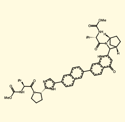 COC(=O)N[C@H](C(=O)N1CCC[C@H]1c1ncc(-c2ccc3cc(-c4ccc5c(=O)cc(C6[C@H]7CC[C@H](C7)N6C(=O)[C@@H](NC(=O)OC)C(C)C)[nH]c5c4)ccc3c2)[nH]1)C(C)C